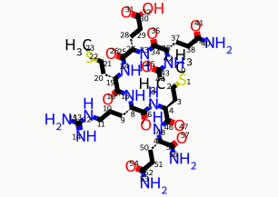 CSCC[C@H](NC(=O)[C@H](CCCNC(=N)N)NC(=O)[C@H](CCSC)NC(=O)[C@H](CCC(=O)O)NC(=O)[C@H](CCC(N)=O)NC(C)=O)C(=O)N[C@@H](CCC(N)=O)C(N)=O